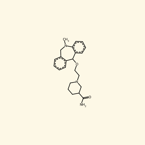 CN1Cc2ccccc2C(OCCN2CCCC(C(N)=O)C2)c2ccccc21